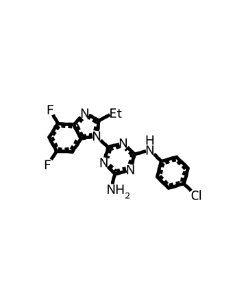 CCc1nc2c(F)cc(F)cc2n1-c1nc(N)nc(Nc2ccc(Cl)cc2)n1